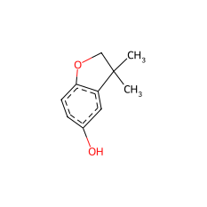 CC1(C)COc2ccc(O)cc21